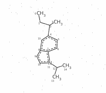 CCC(C)c1ccc2c(ccn2C(C)C)c1